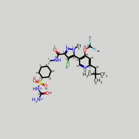 CCn1nc(C(=O)NC[C@H]2CC[C@H](S(=O)(=O)NC(N)=O)CC2)c(Cl)c1-c1cnc(CC(C)(C)C(F)(F)F)cc1OC(F)F